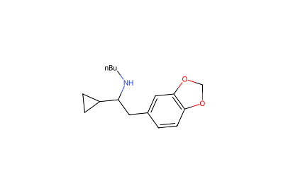 CCCCNC(Cc1ccc2c(c1)OCO2)C1CC1